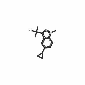 Cn1nc(C(C)(C)S)c2cc(C3CC3)ccc21